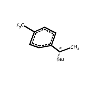 C[C@@H](c1ccc(C(F)(F)F)cc1)C(C)(C)C